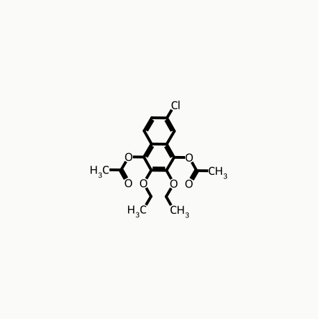 CCOc1c(OCC)c(OC(C)=O)c2cc(Cl)ccc2c1OC(C)=O